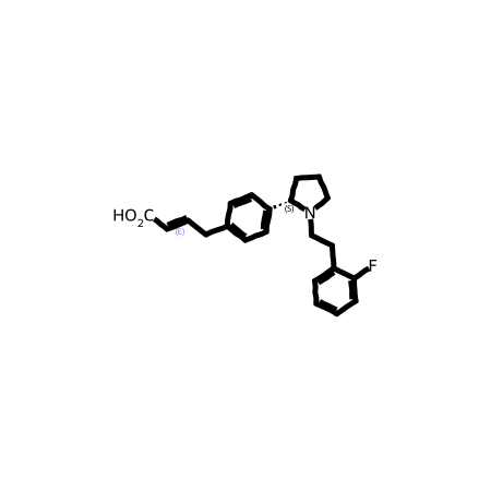 O=C(O)/C=C/Cc1ccc([C@@H]2CCCN2CCc2ccccc2F)cc1